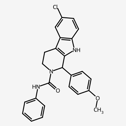 COc1ccc(C2c3[nH]c4ccc(Cl)cc4c3CCN2C(=O)Nc2ccccc2)cc1